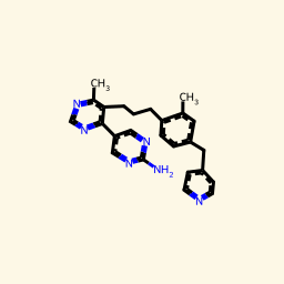 Cc1cc(Cc2ccncc2)ccc1CCCc1c(C)ncnc1-c1cnc(N)nc1